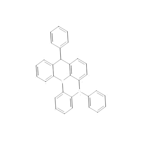 c1ccc(C2c3ccccc3B3c4ccccc4N(c4ccccc4)c4cccc2c43)cc1